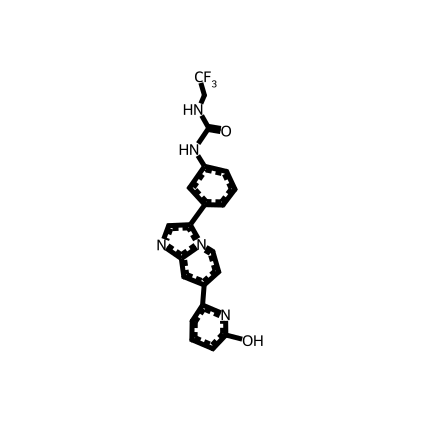 O=C(NCC(F)(F)F)Nc1cccc(-c2cnc3cc(-c4cccc(O)n4)ccn23)c1